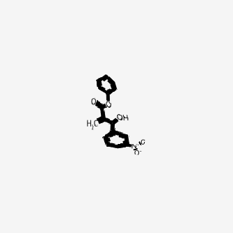 C=C(C(=O)Oc1ccccc1)C(O)c1cccc([N+](=O)[O-])c1